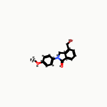 O=C1c2cccc(CBr)c2CN1c1ccc(OC(F)(F)F)cc1